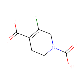 O=C(O)C1=C(F)CN(C(=O)O)CC1